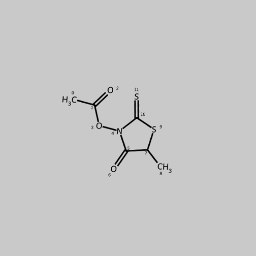 CC(=O)ON1C(=O)C(C)SC1=S